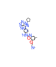 Cc1cc(OCCN(C)C)c2oc(Nc3ccc(-c4nn(C5CCCC5)c5ncnc(N)c45)cc3)nc2c1